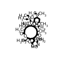 CC[C@@H]1OC(=O)[C@H](C)[C@@H](O)[C@H](C)[C@@H](O[C@@H]2O[C@@H](C)C[C@H](N(C)C)[C@H]2O[Si](CC)(CC)CC)[C@](C)(OC)C[C@@H](C)C(=O)[C@H](C)[C@H]2[C@H](/C(N)=N\O)C(=O)O[C@@]21C